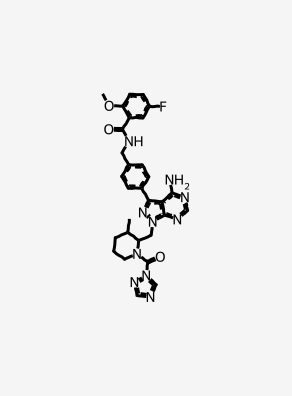 COc1ccc(F)cc1C(=O)NCc1ccc(-c2nn(CC3C(C)CCCN3C(=O)n3cncn3)c3ncnc(N)c23)cc1